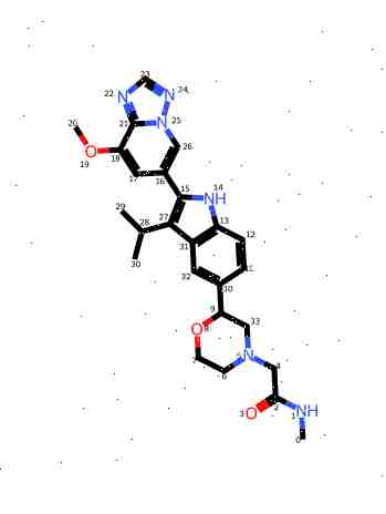 CNC(=O)CN1CCOC(c2ccc3[nH]c(-c4cc(OC)c5ncnn5c4)c(C(C)C)c3c2)C1